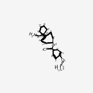 COc1ccc(C(=O)Nc2ccc(C3(CN)CCCC3)cc2)cc1